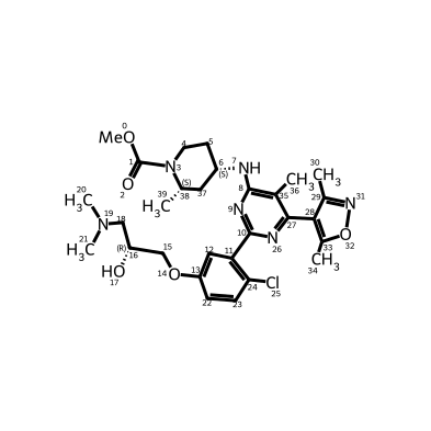 COC(=O)N1CC[C@H](Nc2nc(-c3cc(OC[C@H](O)CN(C)C)ccc3Cl)nc(-c3c(C)noc3C)c2C)C[C@@H]1C